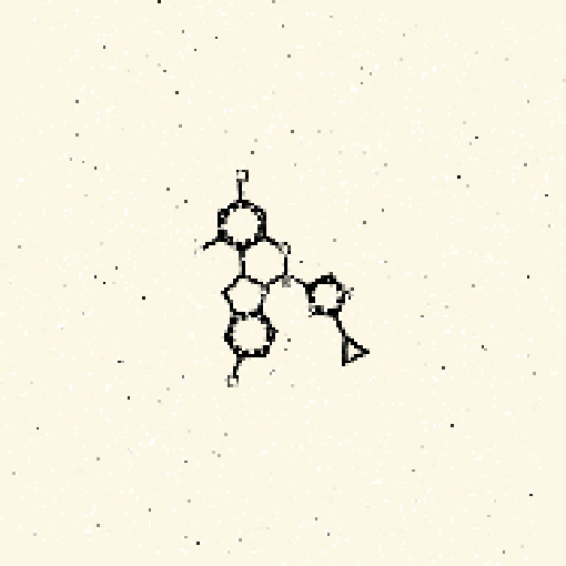 Fc1cc(Cl)cc2c1C1Cc3cc(Cl)ccc3N1[C@H](c1cnc(C3CC3)s1)O2